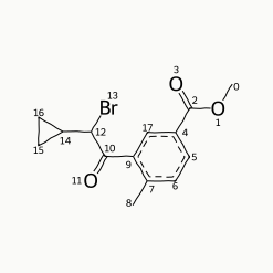 COC(=O)c1ccc(C)c(C(=O)C(Br)C2CC2)c1